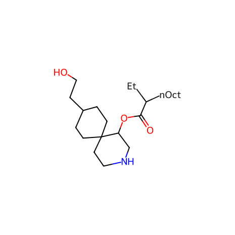 CCCCCCCCC(CC)C(=O)OC1CNCCC12CCC(CCO)CC2